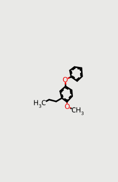 CCCc1cc(Oc2ccccc2)ccc1OC